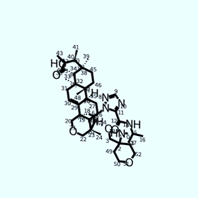 CNC1(CO[C@H]2[C@H](n3ncnc3C(=O)NC(C)C)C[C@@]34COC[C@]2(C)[C@@H]3CC[C@H]2C4=CC[C@@]3(C)[C@H](C(=O)O)[C@@](C)([C@H](C)C(C)C)CC[C@]23C)CCOCC1